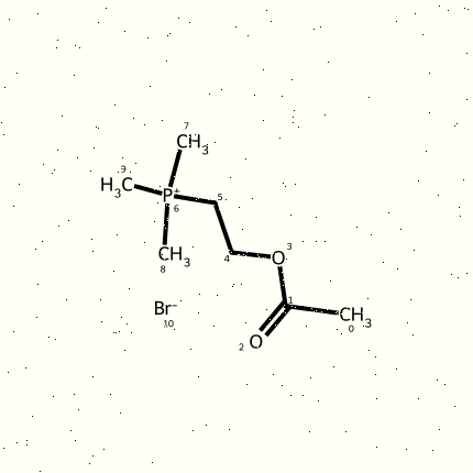 CC(=O)OCC[P+](C)(C)C.[Br-]